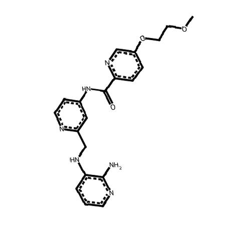 COCCOc1ccc(C(=O)Nc2ccnc(CNc3cccnc3N)c2)nc1